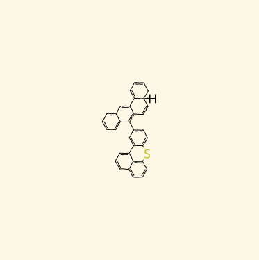 C1=CC[C@@H]2C=Cc3c(cc4ccccc4c3-c3ccc4c(c3)-c3cccc5cccc(c35)S4)C2=C1